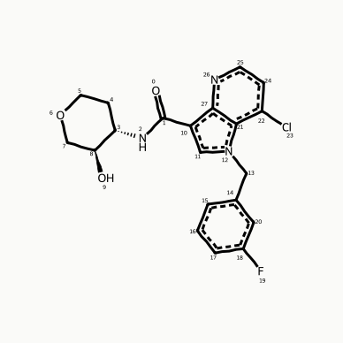 O=C(N[C@H]1CCOC[C@@H]1O)c1cn(Cc2cccc(F)c2)c2c(Cl)ccnc12